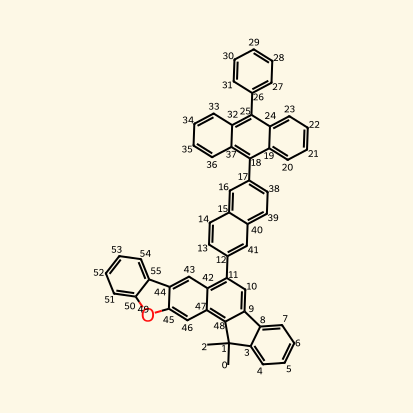 CC1(C)c2ccccc2-c2cc(-c3ccc4cc(-c5c6ccccc6c(-c6ccccc6)c6ccccc56)ccc4c3)c3cc4c(cc3c21)oc1ccccc14